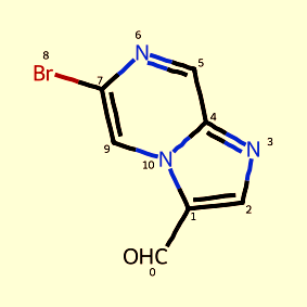 O=Cc1cnc2cnc(Br)cn12